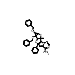 CC1(c2ccc3c(N)ncnn23)OC2C(OCc3ccccc3)C2(OCc2ccccc2)C1OCc1ccccc1